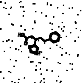 O=C(O)CC(CCc1ccccc1)c1c[nH]cn1